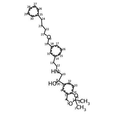 CC1(C)OCc2cc([C@@H](O)CNCCc3cccc(COCCCCc4ccccc4)c3)ccc2O1